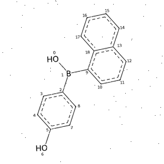 OB(c1ccc(O)cc1)c1cccc2ccccc12